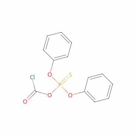 O=C(Cl)OP(=S)(Oc1ccccc1)Oc1ccccc1